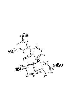 CC(C)c1c(-c2cc(C(C)(C)C)cc(C(C)(C)C)c2)cccc1-n1c2cc(C(C)(C)C)ccc2c2ccc(C(C)(C)C)cc21